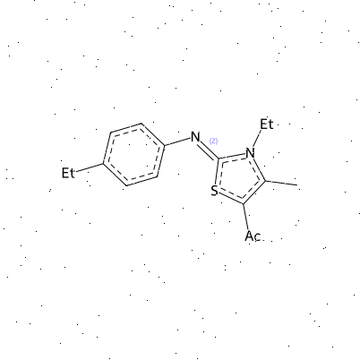 CCc1ccc(/N=c2\sc(C(C)=O)c(C)n2CC)cc1